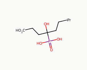 CC(C)CCC(O)(CCC(=O)O)P(=O)(O)O